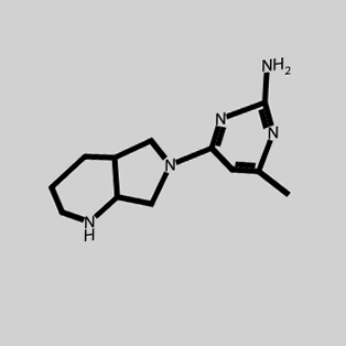 Cc1cc(N2CC3CCCNC3C2)nc(N)n1